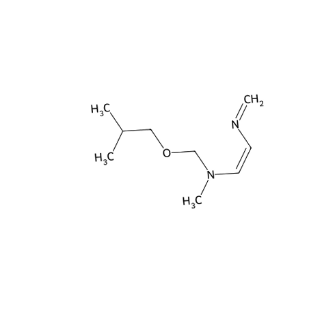 C=N/C=C\N(C)COCC(C)C